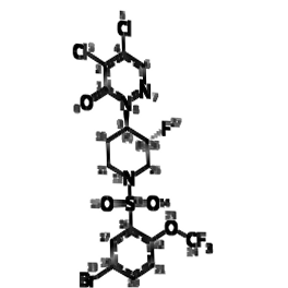 O=c1c(Cl)c(Cl)cnn1[C@@H]1CCN(S(=O)(=O)c2cc(Br)ccc2OC(F)(F)F)C[C@H]1F